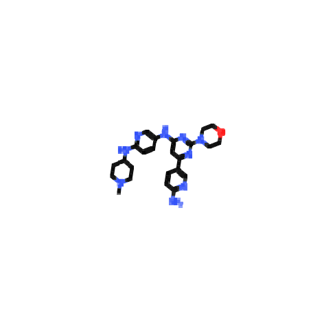 CN1CCC(Nc2ccc(Nc3cc(-c4ccc(N)nc4)nc(N4CCOCC4)n3)cn2)CC1